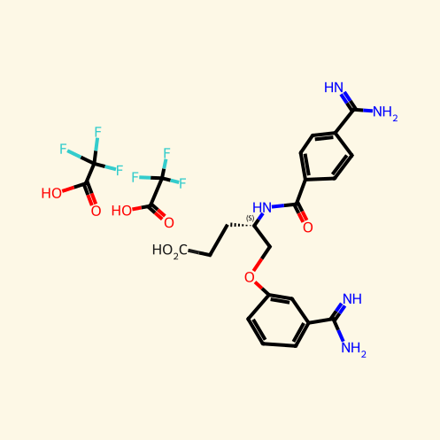 N=C(N)c1ccc(C(=O)N[C@@H](CCC(=O)O)COc2cccc(C(=N)N)c2)cc1.O=C(O)C(F)(F)F.O=C(O)C(F)(F)F